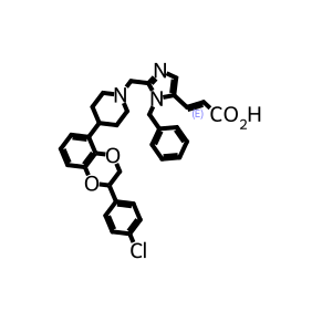 O=C(O)/C=C/c1cnc(CN2CCC(c3cccc4c3OCC(c3ccc(Cl)cc3)O4)CC2)n1Cc1ccccc1